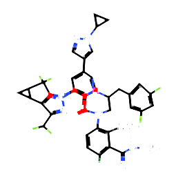 C=Nc1cc(-c2cnn(C3CC3)c2)ccc1C(=O)N(CC(Cc1cc(F)cc(F)c1)NC(=O)Cn1nc(C(F)F)c2c1C(F)(F)C1C[C@H]21)c1ccc(Cl)c(C(=N)NSC)c1NC